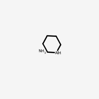 C1C[CH2][AlH][CH2]C1.N